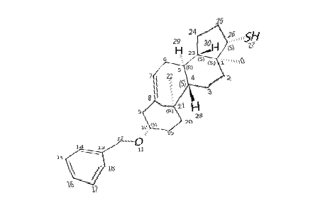 C[C@]12CC[C@H]3[C@@H](CC=C4C[C@@H](OCc5ccccc5)CC[C@@]43C)[C@@H]1CC[C@@H]2S